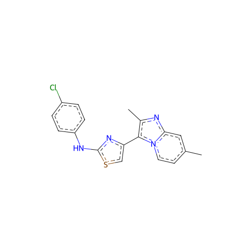 Cc1ccn2c(-c3csc(Nc4ccc(Cl)cc4)n3)c(C)nc2c1